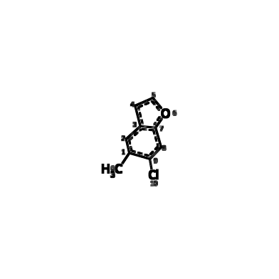 Cc1cc2ccoc2cc1Cl